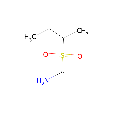 CCC(C)S(=O)(=O)[CH]N